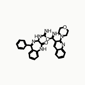 N=C(NC1N=C(c2ccccc2)c2ccccc2NC1=O)OC(=N)c1cc2ccccc2nc1N1CCOCC1